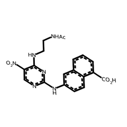 CC(=O)NCCNc1nc(Nc2ccc3c(C(=O)O)cccc3c2)ncc1[N+](=O)[O-]